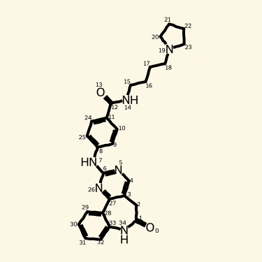 O=C1Cc2cnc(Nc3ccc(C(=O)NCCCCN4CCCC4)cc3)nc2-c2ccccc2N1